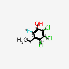 CCc1c(F)c(O)c(Cl)c(Cl)c1Cl